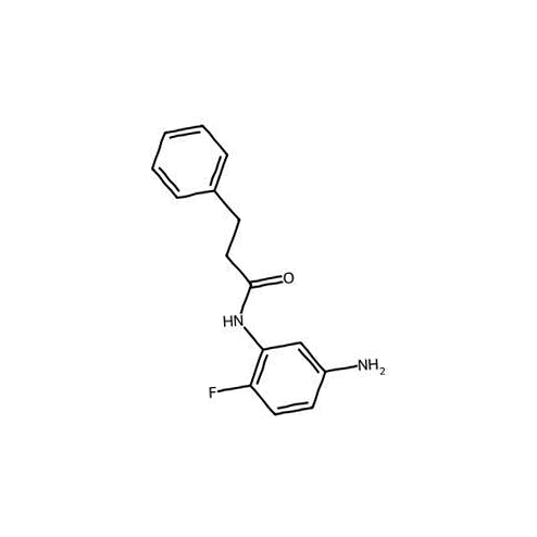 Nc1ccc(F)c(NC(=O)CCc2ccccc2)c1